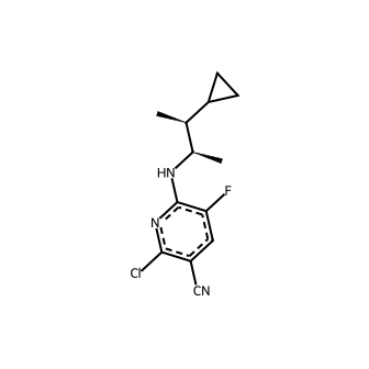 C[C@@H](Nc1nc(Cl)c(C#N)cc1F)[C@@H](C)C1CC1